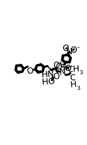 CC(C)CN(C[C@@H](O)[C@H](Cc1ccc(OCc2ccccc2)cc1)NC(=O)O)S(=O)(=O)c1ccc([N+](=O)[O-])cc1